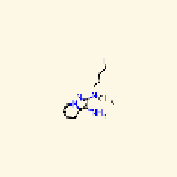 CN(CCCCI)c1nn2ccccc2c1N